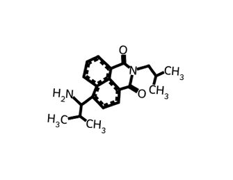 CC(C)CN1C(=O)c2cccc3c(C(N)C(C)C)ccc(c23)C1=O